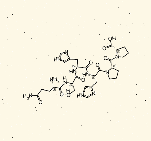 NC(=O)CC[C@H](N)C(=O)N[C@@H](CO)C(=O)N[C@@H](Cc1c[nH]cn1)C(=O)N[C@@H](Cc1c[nH]cn1)C(=O)N1CCC[C@H]1C(=O)N1CCC[C@H]1C(=O)O